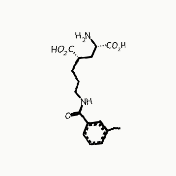 Cc1cccc(C(=O)NCCC[C@@H](C[C@H](N)C(=O)O)C(=O)O)c1